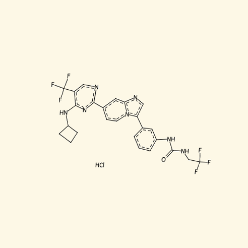 Cl.O=C(NCC(F)(F)F)Nc1cccc(-c2cnc3cc(-c4ncc(C(F)(F)F)c(NC5CCC5)n4)ccn23)c1